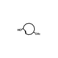 CC(=O)OC1CC/C=C/C(O)CCCCCC1